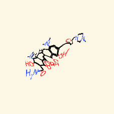 CN1CCN(CC2CC=C(c3cc(N(C)C)c4c(c3O)C(=O)C3=C(O)[C@]5(O)C(=O)C(C(N)=O)=C(O)[C@@H](N(C)C)[C@@H]5C[C@@H]3C4)O2)CC1